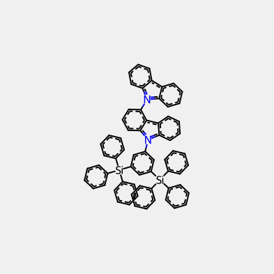 c1ccc([Si](c2ccccc2)(c2ccccc2)c2cc(-n3c4ccccc4c4c(-n5c6ccccc6c6ccccc65)cccc43)cc([Si](c3ccccc3)(c3ccccc3)c3ccccc3)c2)cc1